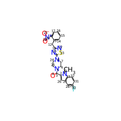 Cn1c(C(=O)N2CCN(c3nc(Cc4ccccc4[N+](=O)[O-])ns3)CC2)cc2cc(F)ccc21